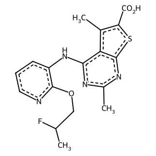 Cc1nc(Nc2cccnc2OCC(C)F)c2c(C)c(C(=O)O)sc2n1